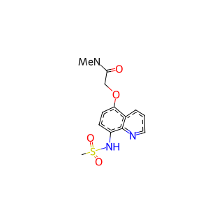 CNC(=O)COc1ccc(NS(C)(=O)=O)c2ncccc12